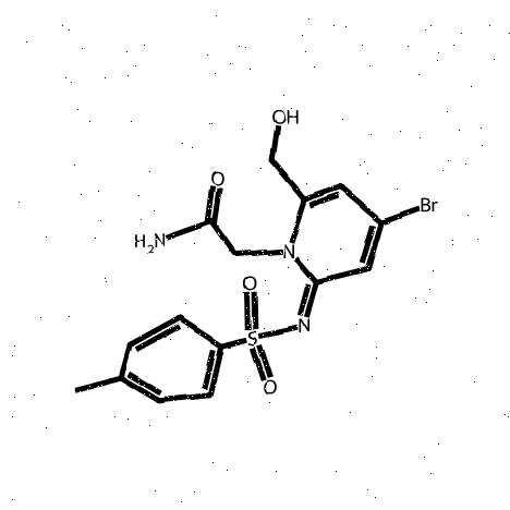 Cc1ccc(S(=O)(=O)/N=c2/cc(Br)cc(CO)n2CC(N)=O)cc1